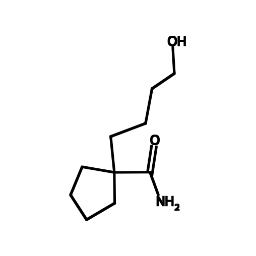 NC(=O)C1(CCCCO)CCCC1